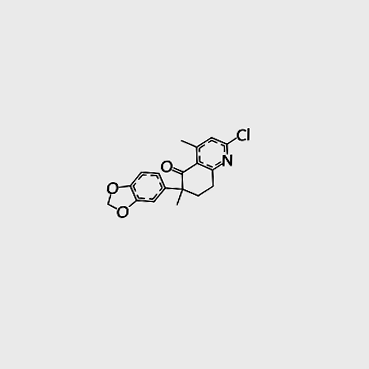 Cc1cc(Cl)nc2c1C(=O)C(C)(c1ccc3c(c1)OCO3)CC2